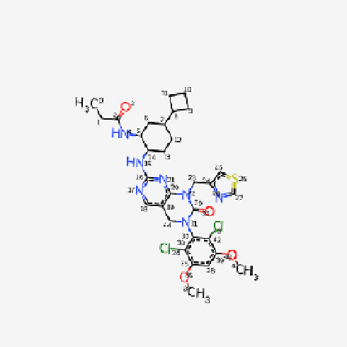 CCC(=O)N[C@H]1CC(C2CCC2)CC[C@H]1Nc1ncc2c(n1)N(Cc1cscn1)C(=O)N(c1c(Cl)c(OC)cc(OC)c1Cl)C2